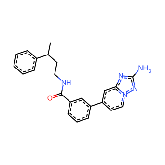 CC(CCNC(=O)c1cccc(-c2ccn3nc(N)nc3c2)c1)c1ccccc1